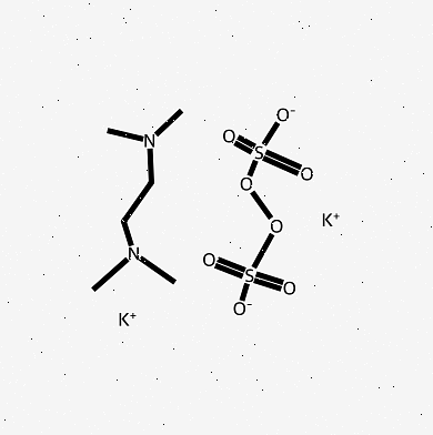 CN(C)CCN(C)C.O=S(=O)([O-])OOS(=O)(=O)[O-].[K+].[K+]